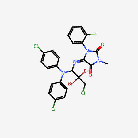 CN1C(=O)C(=NC(N(c2ccc(Cl)cc2)c2ccc(Cl)cc2)C(Br)(Br)CCl)N(c2ccccc2F)C1=O